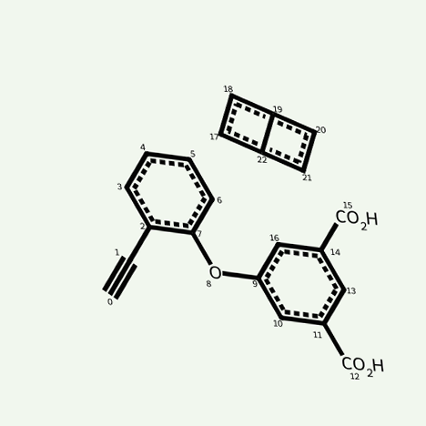 C#Cc1ccccc1Oc1cc(C(=O)O)cc(C(=O)O)c1.c1cc2ccc1-2